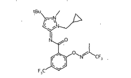 CC(=NOc1ccc(C(F)(F)F)cc1C(=O)N=c1cc(C(C)(C)C)n(C)n1CC1CC1)C(F)(F)F